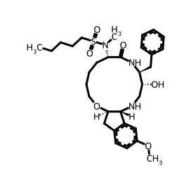 CCCCCS(=O)(=O)N(C)[C@H]1CCCCO[C@@H]2Cc3ccc(OC)cc3[C@H]2NC[C@@H](O)[C@H](Cc2ccccc2)NC1=O